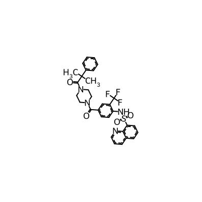 CC(C)(C(=O)N1CCN(C(=O)c2ccc(NS(=O)(=O)c3cccc4cccnc34)c(C(F)(F)F)c2)CC1)c1ccccc1